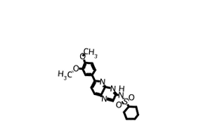 COc1ccc(-c2ccc3ncc(NS(=O)(=O)C4CCCCC4)nc3n2)cc1OC